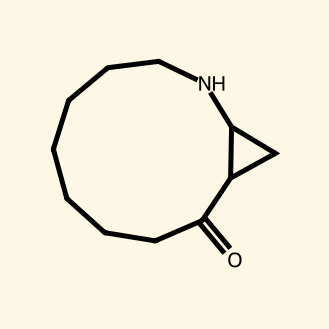 O=C1CCCCCCCNC2CC12